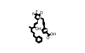 CC(CCCc1ccccc1)C(O)/C=C/[C@H]1CC(F)(F)C(=O)N1CC#Cc1ccc(C(=O)O)s1